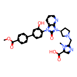 COC(=O)c1ccc(-c2ccc(-n3c(=O)n([C@H]4CCN(Cc5ncc(C(=O)O)n5C)C4)c4ncccc43)c(O)c2)cc1